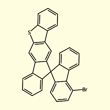 Brc1cccc2c1-c1ccccc1C21c2ccccc2-c2cc3sc4ccccc4c3cc21